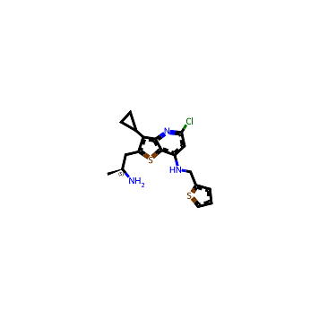 C[C@H](N)Cc1sc2c(NCc3cccs3)cc(Cl)nc2c1C1CC1